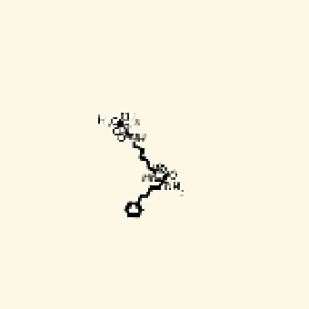 CC(C)(C)OC(=O)NCCCCCC(=O)N[C@@](N)(CCCCc1ccccc1)C(=O)O